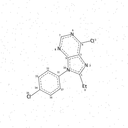 CCc1nc2c(Cl)ncnc2n1-c1ccc(Cl)cc1